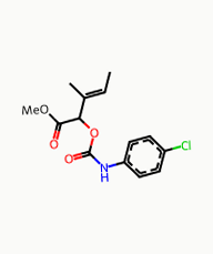 CC=C(C)C(OC(=O)Nc1ccc(Cl)cc1)C(=O)OC